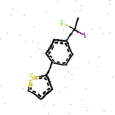 CC(F)(I)c1ccc(-c2cccs2)cc1